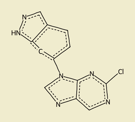 Clc1ncc2ncn(-c3ccc4cn[nH]c4c3)c2n1